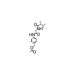 CC(=O)OCc1ccc(NC(=O)CNC(=O)[C@@H](C)C(C)C)cc1